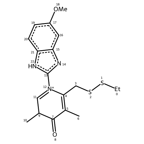 CCSSCC1=C(C)C(=O)C(C)C=[N+]1c1nc2cc(OC)ccc2[nH]1